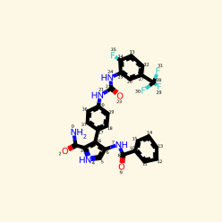 NC(=O)c1[nH]cc(NC(=O)c2ccccc2)c1-c1ccc(NC(=O)Nc2cc(C(F)(F)F)ccc2F)cc1